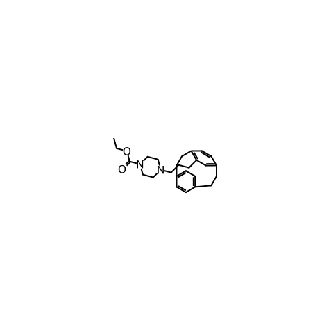 CCOC(=O)N1CCN(CCCc2cc3ccc2CCc2ccc(cc2)CC3)CC1